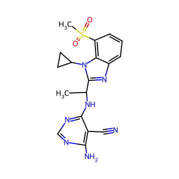 CC(Nc1ncnc(N)c1C#N)c1nc2cccc(S(C)(=O)=O)c2n1C1CC1